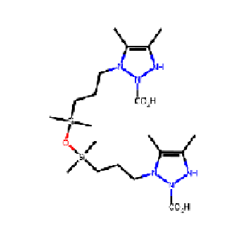 CC1=C(C)N(CCC[Si](C)(C)O[Si](C)(C)CCCN2C(C)=C(C)NN2C(=O)O)N(C(=O)O)N1